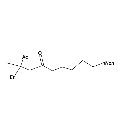 CCCCCCCCCCCCCCC(=O)CC(C)(CC)C(C)=O